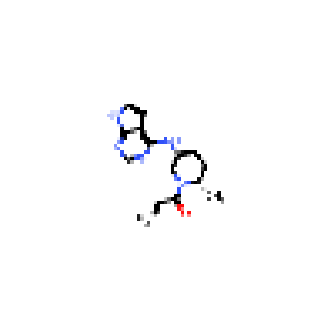 C=CC(=O)N1C[C@@H](Nc2ncnc3[nH]ccc23)CC[C@@H]1C